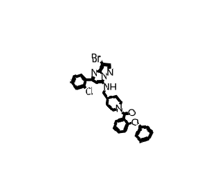 O=C(c1ccccc1Oc1ccccc1)N1CCC(CNc2cc(-c3ccccc3Cl)nc3c(Br)cnn23)CC1